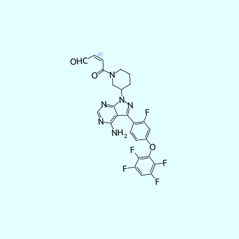 Nc1ncnc2c1c(-c1ccc(Oc3c(F)c(F)cc(F)c3F)cc1F)nn2C1CCCN(C(=O)/C=C\C=O)C1